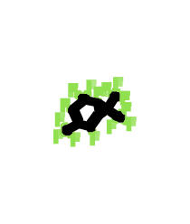 FC1=C2C(F)(C(F)(F)C(F)=C1C(F)(F)F)C2(C(F)(F)F)C(F)(F)F